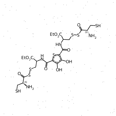 CCOC(=O)C(CSSC(=O)[C@@H](N)CS)NC(=O)c1sc(C(=O)NC(CSSC(=O)[C@@H](N)CS)C(=O)OCC)c(O)c1O